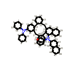 c1ccc(N(c2ccccc2)c2ccc3c(c2)Cc2ccccc2-c2c(cc4ccccc4c2N(c2ccccc2)c2ccc4ccccc4c2)Cc2ccccc2-3)cc1